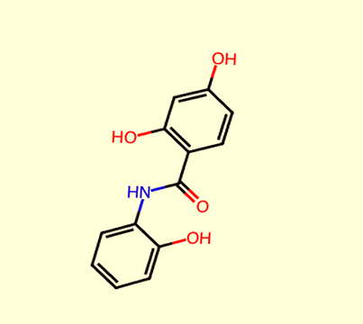 O=C(Nc1ccccc1O)c1ccc(O)cc1O